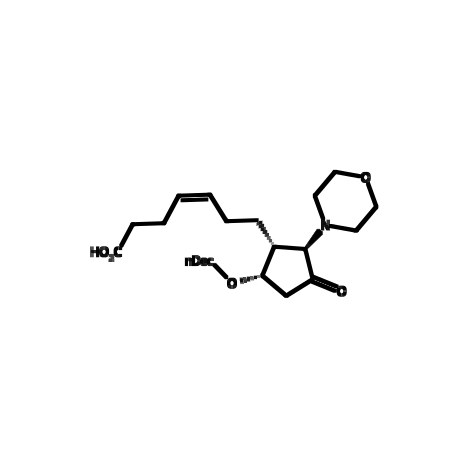 CCCCCCCCCCO[C@H]1CC(=O)[C@H](N2CCOCC2)[C@H]1CC/C=C\CCC(=O)O